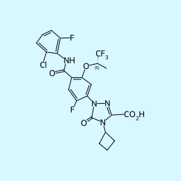 C[C@H](Oc1cc(-n2nc(C(=O)O)n(C3CCC3)c2=O)c(F)cc1C(=O)Nc1c(F)cccc1Cl)C(F)(F)F